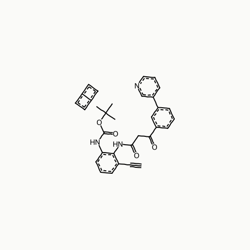 C#Cc1cccc(NC(=O)OC(C)(C)C)c1NC(=O)CC(=O)c1cccc(-c2cccnc2)c1.c1cc2ccc1-2